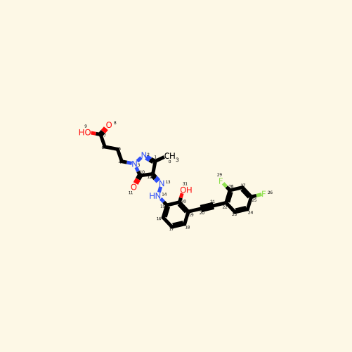 CC1=NN(CCCC(=O)O)C(=O)/C1=N\Nc1cccc(C#Cc2ccc(F)cc2F)c1O